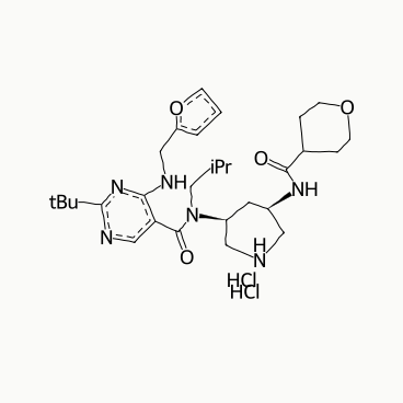 CC(C)CN(C(=O)c1cnc(C(C)(C)C)nc1NCc1ccco1)[C@@H]1CNC[C@H](NC(=O)C2CCOCC2)C1.Cl.Cl